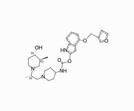 C[C@H]1CN([C@@H](C)CN2CCC(NC(=O)Oc3cc4c(OCc5ccoc5)cccc4[nH]3)CC2)CC[C@@H]1O